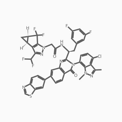 Cc1nn(C)c2c(-n3c([C@H](Cc4cc(F)cc(F)c4)NC(=O)Cn4nc(C(F)F)c5c4C(F)(F)[C@@H]4C[C@H]54)nc4cc(-c5ccc6ncsc6c5)ccc4c3=O)ccc(Cl)c12